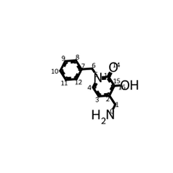 NCc1ccn(Cc2ccccc2)c(=O)c1O